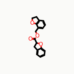 O=C(OCc1cccc2c1OCC2)C1Cc2ccccc2O1